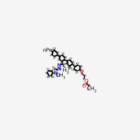 C=CC(=O)OCCCOc1ccc(-c2ccc(-c3ccc(-c4ccc(CCC)cc4)cc3/C(C)=N/N=c3\sc4ccccc4n3C)cc2F)cc1